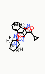 COC(=O)c1cnc(N2[C@@H]3CC[C@H]2C[C@@H](OCc2c(-c4ccccc4OC(F)(F)F)noc2C2CC2)C3)nc1